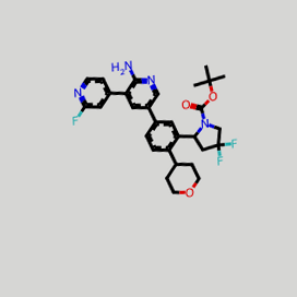 CC(C)(C)OC(=O)N1CC(F)(F)CC1c1cc(-c2cnc(N)c(-c3ccnc(F)c3)c2)ccc1C1CCOCC1